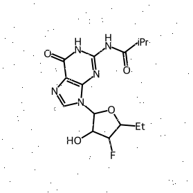 CCC1OC(n2cnc3c(=O)[nH]c(NC(=O)C(C)C)nc32)C(O)C1F